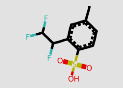 Cc1ccc(S(=O)(=O)O)c(C(F)C(F)F)c1